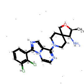 C[C@@H]1OCC2(CCN(c3nccn4c(-c5cccc(Cl)c5Cl)ncc34)CC2)[C@@H]1N